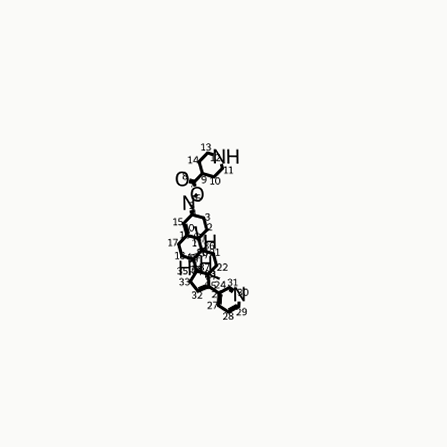 C[C@]12CCC(=NOC(=O)C3CCNCC3)C=C1CC[C@H]1[C@@H]2CC[C@]2(C)C(c3cccnc3)=CC[C@@H]12